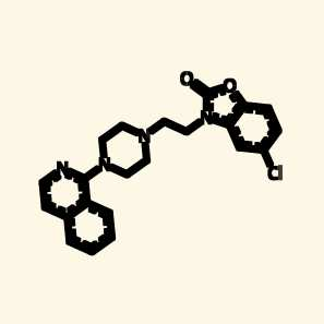 O=c1oc2ccc(Cl)cc2n1CCN1CCN(c2nccc3ccccc23)CC1